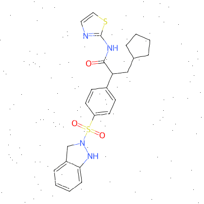 O=C(Nc1nccs1)C(CC1CCCC1)c1ccc(S(=O)(=O)N2Cc3ccccc3N2)cc1